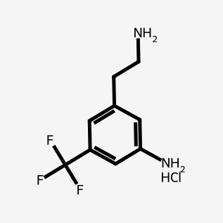 Cl.NCCc1cc(N)cc(C(F)(F)F)c1